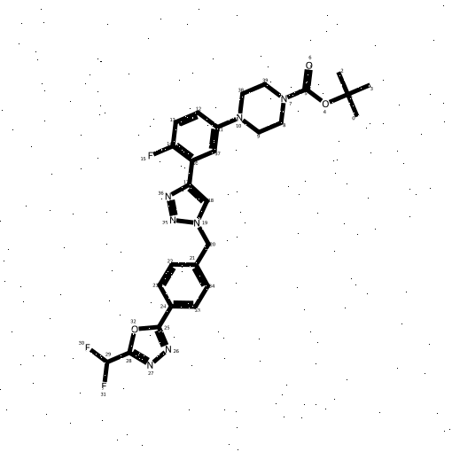 CC(C)(C)OC(=O)N1CCN(c2ccc(F)c(-c3cn(Cc4ccc(-c5nnc(C(F)F)o5)cc4)nn3)c2)CC1